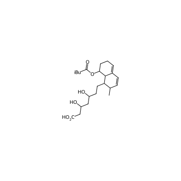 CCC(C)C(=O)OC1CCC=C2C=CC(C)C(CCC(O)CC(O)CC(=O)O)C21